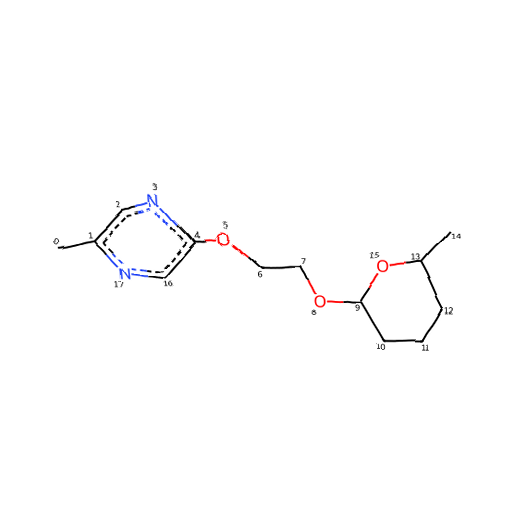 Cc1cnc(OCCOC2CCCC(C)O2)cn1